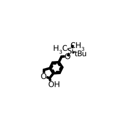 CC(C)(C)[Si](C)(C)OCc1ccc2c(c1)COC2O